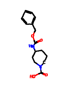 O=C(NC1CCCN(C(=O)O)CC1)OCc1ccccc1